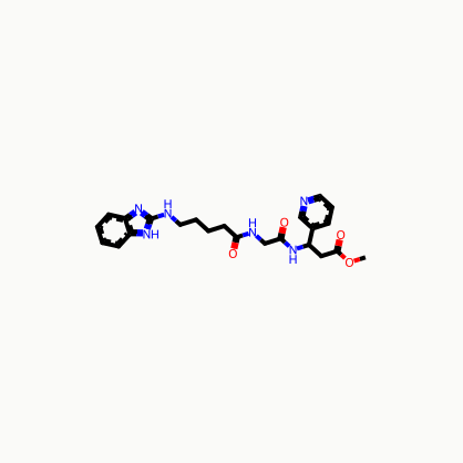 COC(=O)CC(NC(=O)CNC(=O)CCCCNc1nc2ccccc2[nH]1)c1cccnc1